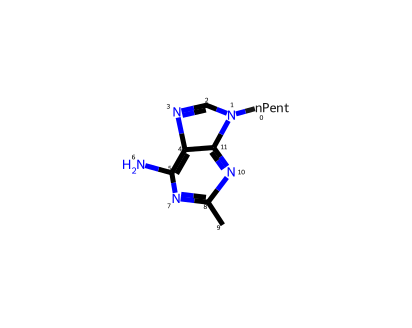 CCCCCn1cnc2c(N)nc(C)nc21